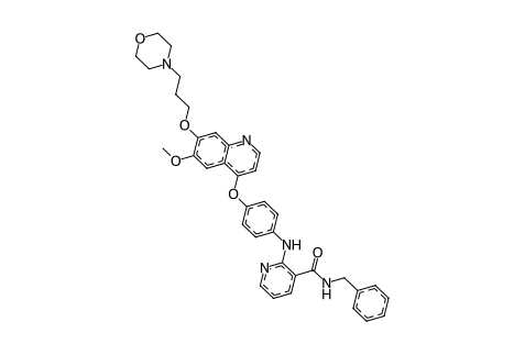 COc1cc2c(Oc3ccc(Nc4ncccc4C(=O)NCc4ccccc4)cc3)ccnc2cc1OCCCN1CCOCC1